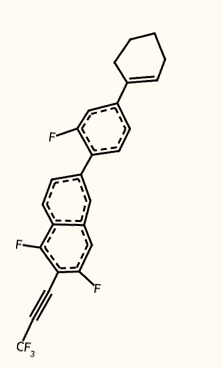 Fc1cc(C2=CCCCC2)ccc1-c1ccc2c(F)c(C#CC(F)(F)F)c(F)cc2c1